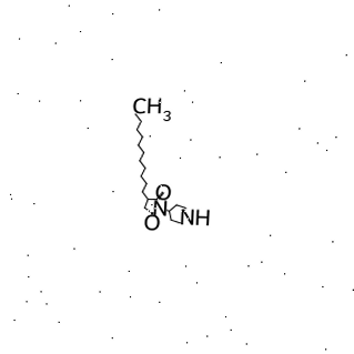 CCCCCCCCCCCCC1CC(=O)N(C2CCNCC2)C1=O